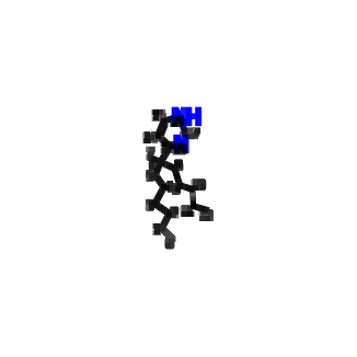 CCCCCCC(C)(CCCCC)C1C=CNC=N1